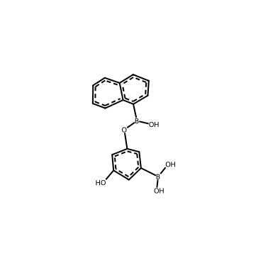 OB(O)c1cc(O)cc(OB(O)c2cccc3ccccc23)c1